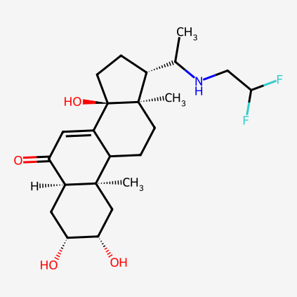 CC(NCC(F)F)[C@H]1CC[C@@]2(O)C3=CC(=O)[C@@H]4C[C@@H](O)[C@@H](O)C[C@]4(C)C3CC[C@]12C